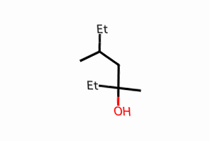 CCC(C)CC(C)(O)CC